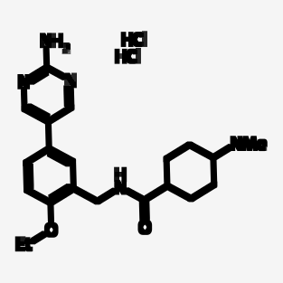 CCOc1ccc(-c2cnc(N)nc2)cc1CNC(=O)C1CCC(NC)CC1.Cl.Cl